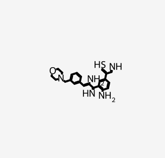 N=C/C(=C\S)c1ccc(N)c(C(=N)/C(N)=C/c2cccc(CN3CCOCC3)c2)c1